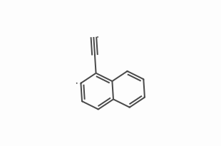 [C]#Cc1[c]ccc2ccccc12